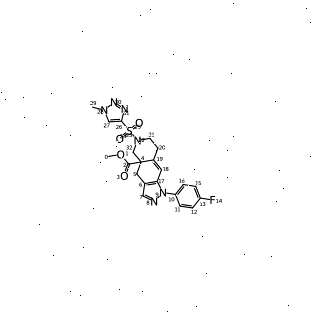 COC(=O)C12Cc3cnn(-c4ccc(F)cc4)c3C=C1CCN(S(=O)(=O)c1cn(C)nn1)C2